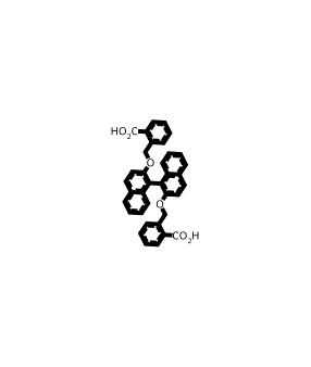 O=C(O)c1ccccc1COc1ccc2ccccc2c1-c1c(OCc2ccccc2C(=O)O)ccc2ccccc12